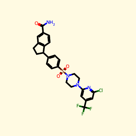 NC(=O)c1ccc2c(c1)CCC2c1ccc(S(=O)(=O)N2CCN(c3cc(C(F)(F)F)cc(Cl)n3)CC2)cc1